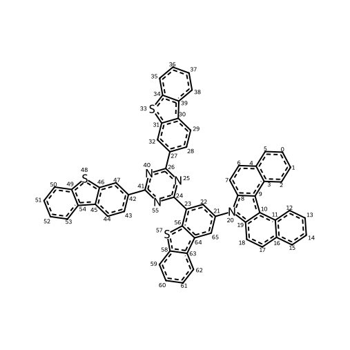 c1ccc2c(c1)ccc1c2c2c3ccccc3ccc2n1-c1cc(-c2nc(-c3ccc4c(c3)sc3ccccc34)nc(-c3ccc4c(c3)sc3ccccc34)n2)c2sc3ccccc3c2c1